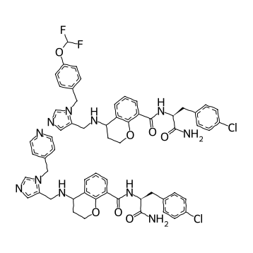 NC(=O)[C@H](Cc1ccc(Cl)cc1)NC(=O)c1cccc2c1OCCC2NCc1cncn1Cc1ccc(OC(F)F)cc1.NC(=O)[C@H](Cc1ccc(Cl)cc1)NC(=O)c1cccc2c1OCCC2NCc1cncn1Cc1ccncc1